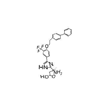 C[C@](N)(CC(=O)O)c1nc(-c2ccc(OCCc3ccc(-c4ccccc4)cc3)c(C(F)(F)F)c2)c[nH]1